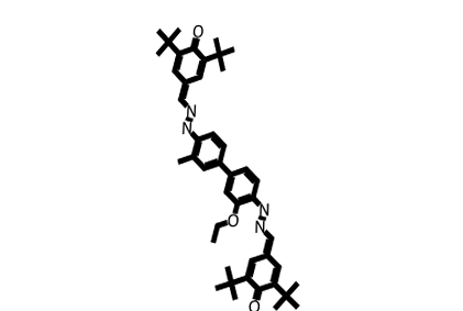 CCOc1cc(-c2ccc(/N=N/C=C3C=C(C(C)(C)C)C(=O)C(C(C)(C)C)=C3)c(C)c2)ccc1/N=N/C=C1C=C(C(C)(C)C)C(=O)C(C(C)(C)C)=C1